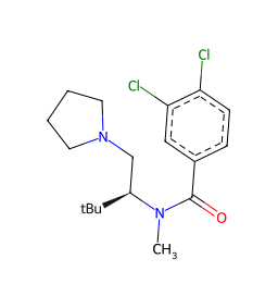 CN(C(=O)c1ccc(Cl)c(Cl)c1)[C@H](CN1CCCC1)C(C)(C)C